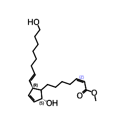 COC(=O)/C=C\CCCCC1[C@H](C=CCCCCCCO)C=C[C@H]1O